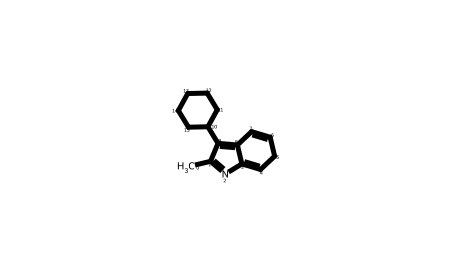 CC1=NC2=CCC=CC2=C1C1CCCCC1